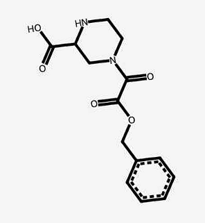 O=C(OCc1ccccc1)C(=O)N1CCNC(C(=O)O)C1